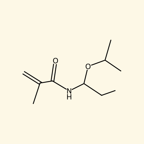 C=C(C)C(=O)NC(CC)OC(C)C